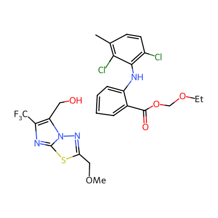 CCOCOC(=O)c1ccccc1Nc1c(Cl)ccc(C)c1Cl.COCc1nn2c(CO)c(C(F)(F)F)nc2s1